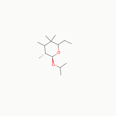 CCC1O[C@@H](OC(C)C)[C@H](C)C(C)C1(C)C